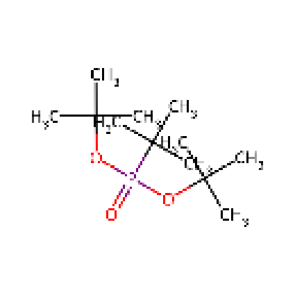 CC(C)(C)OP(=O)(OC(C)(C)C)C(C)(C)C